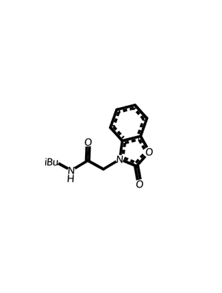 CCC(C)NC(=O)Cn1c(=O)oc2ccccc21